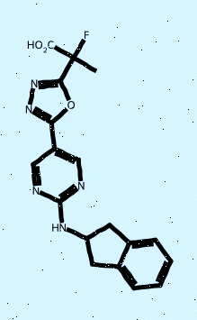 CC(F)(C(=O)O)c1nnc(-c2cnc(NC3Cc4ccccc4C3)nc2)o1